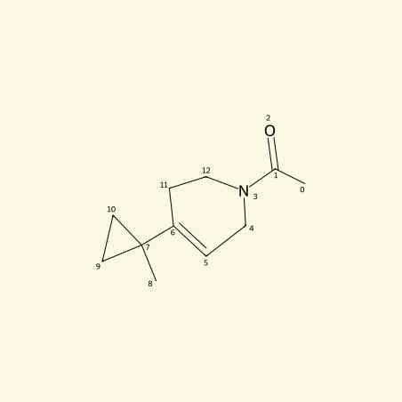 CC(=O)N1CC=C(C2(C)CC2)CC1